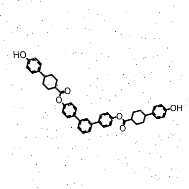 O=C(Oc1ccc(-c2cccc(-c3ccc(OC(=O)C4CCC(c5ccc(O)cc5)CC4)cc3)c2)cc1)C1CCC(c2ccc(O)cc2)CC1